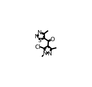 Cc1nnsc1C(=O)c1c(C)nn(C)c1Cl